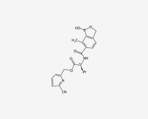 Cc1c(C(=O)N[C@H](C(=O)OCc2cccc(C#N)n2)C(C)C)ccc2c1B(O)OC2